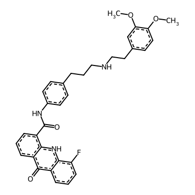 COc1ccc(CCNCCCc2ccc(NC(=O)c3cccc4c(=O)c5cccc(F)c5[nH]c34)cc2)cc1OC